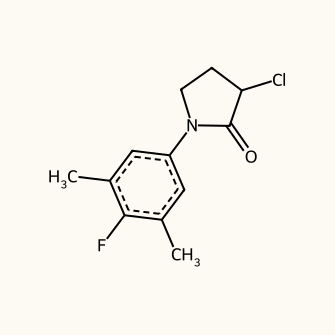 Cc1cc(N2CCC(Cl)C2=O)cc(C)c1F